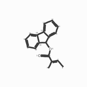 CC=C(C)C(=O)OC1c2ccccc2-c2ccccc21